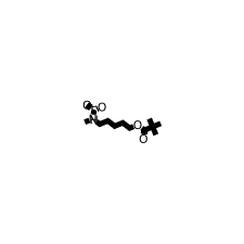 CN(CCCCCOC(=O)C(C)(C)C)[SH](=O)=O